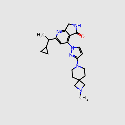 CC(c1cc(-n2ccc(N3CCC4(CC3)CN(C)C4)n2)c2c(n1)CNC2=O)C1CC1